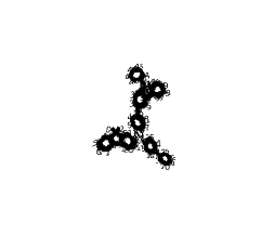 CC1(C)c2ccccc2-c2ccc(N(c3ccc(-c4ccccc4)cc3)c3ccc(-c4ccc5c(c4)c4ccccc4n5C4=CC=CCC4)cc3)cc21